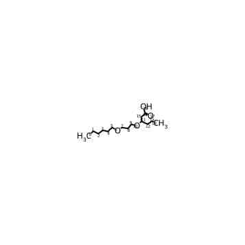 CCCCCCOCCCOC(CCC)CC(=O)O